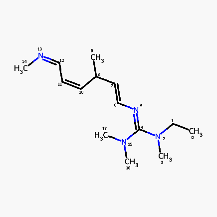 CCN(C)/C(=N/C=C/C(C)/C=C\C=N/C)N(C)C